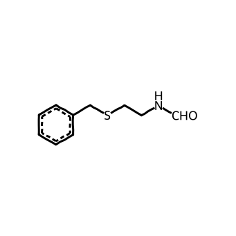 O=CNCCSCc1ccccc1